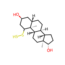 C[C@]12CC[C@H]3[C@@H](CC[C@H]4C[C@H](O)CC(SS)[C@@]43C)[C@@H]1CC[C@@H]2O